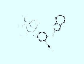 N#Cc1ccc([C@]23OC[C@](CO)(O2)[C@@H](O)[C@H](O)[C@H]3O)cc1Cc1cc2ccccc2s1